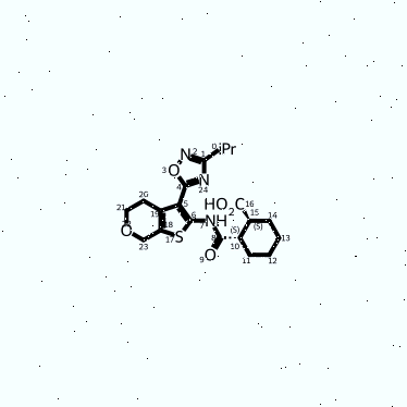 CC(C)c1noc(-c2c(NC(=O)[C@H]3CCCC[C@@H]3C(=O)O)sc3c2CCOC3)n1